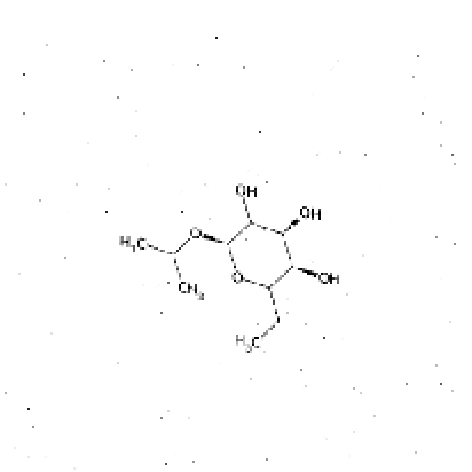 CCC1O[C@@H](OC(C)C)C(O)[C@@H](O)[C@H]1O